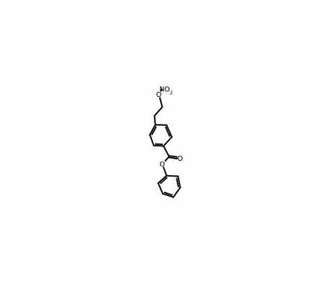 O=C(Oc1ccccc1)c1ccc(CCO[N+](=O)[O-])cc1